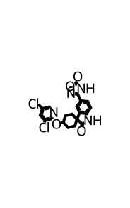 O=C1Nc2ccc(-c3noc(=O)[nH]3)cc2C12CCC(Oc1ncc(Cl)cc1Cl)CC2